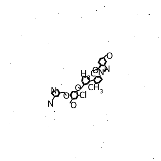 Cc1c(COc2cc(OCc3cncc(C#N)c3)c(C=O)cc2Cl)cccc1-c1cccc(-n2cnc3cc(C=O)ccc3c2=O)c1C